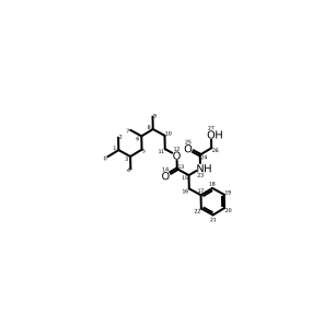 CC(C)C(C)CC(C)C(C)CCOC(=O)C(Cc1ccccc1)NC(=O)CO